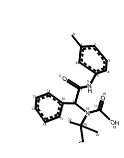 Cc1cccc(NC(=O)C(c2ccccc2)N(C(=O)O)C(C)(C)C)c1